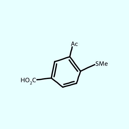 CSc1ccc(C(=O)O)cc1C(C)=O